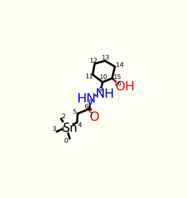 [CH3][Sn]([CH3])([CH3])[CH2]CC(=O)NNC1CCCCC1O